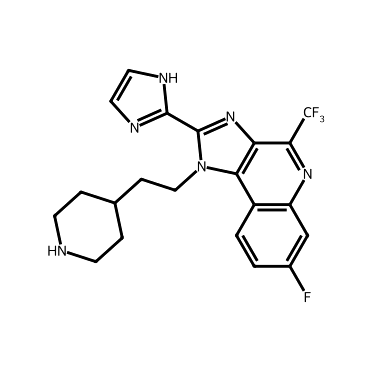 Fc1ccc2c(c1)nc(C(F)(F)F)c1nc(-c3ncc[nH]3)n(CCC3CCNCC3)c12